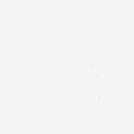 Cc1nnc(-c2cc(C(C)C)c(C)s2)[nH]1